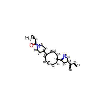 BCC(=O)N1CCC(C2CCCCCC(C3=NCC(C(=C)C=C)C3)CCC2)CC1